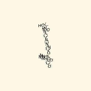 CC(O)C(C)n1ncn(-c2ccc(N3CCN(c4ccc(OC[C@@H]5CO[C@@](Cn6cnnn6)(c6ccc(Cl)cc6Cl)O5)cn4)CC3)cc2)c1=O